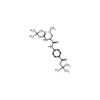 COC[C@H](NC(=O)OC(C)(C)C)C(=O)Nc1ccc(C(=O)OC(C)(C)C)cc1